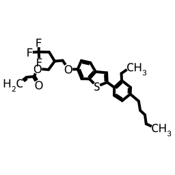 C=CC(=O)OCC(COc1ccc2cc(-c3ccc(CCCCC)cc3CC)sc2c1)CC(F)(F)F